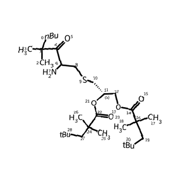 CCCCC(C)(C)C(=O)C(N)CSC[C@H](COC(=O)C(C)(C)CC(C)(C)C)OC(=O)C(C)(C)CC(C)(C)C